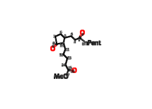 CCCCCC(=O)CCC1CCC(=O)C1CCCCC(=O)OC